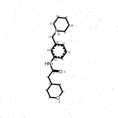 O=C(CC1CCOCC1)Nc1cccc(CN2CCCCC2)c1